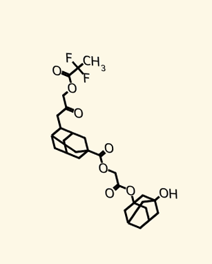 CC(F)(F)C(=O)OCC(=O)CC1C2CC3CC1CC(C(=O)OCC(=O)OC14CC5CC(CC(O)(C5)C1)C4)(C3)C2